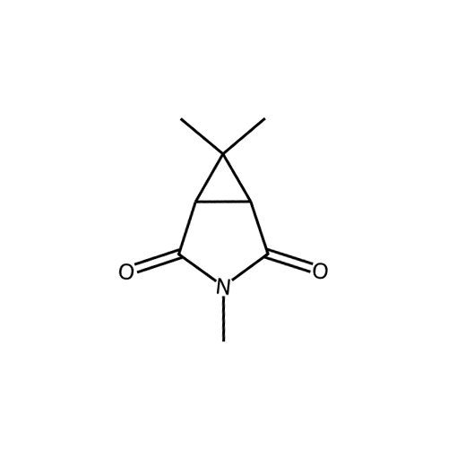 CN1C(=O)C2C(C1=O)C2(C)C